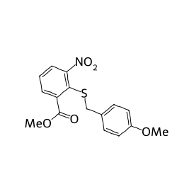 COC(=O)c1cccc([N+](=O)[O-])c1SCc1ccc(OC)cc1